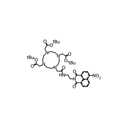 CC(C)(C)OC(=O)CN1CCN(CC(=O)NCCN2C(=O)c3cccc4c([N+](=O)[O-])ccc(c34)C2=O)CCN(CC(=O)OC(C)(C)C)CCN(CC(=O)OC(C)(C)C)CC1